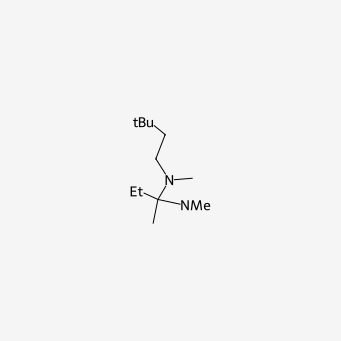 CCC(C)(NC)N(C)CCC(C)(C)C